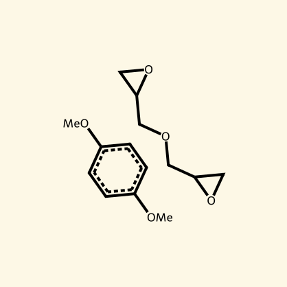 C(OCC1CO1)C1CO1.COc1ccc(OC)cc1